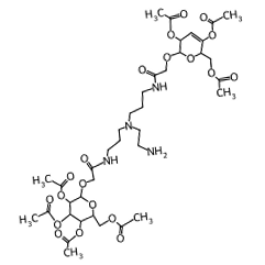 CC(=O)OCC1OC(OCC(=O)NCCCN(CCN)CCCNC(=O)COC2OC(COC(C)=O)C(OC(C)=O)C(OC(C)=O)C2OC(C)=O)C(OC(C)=O)C=C1OC(C)=O